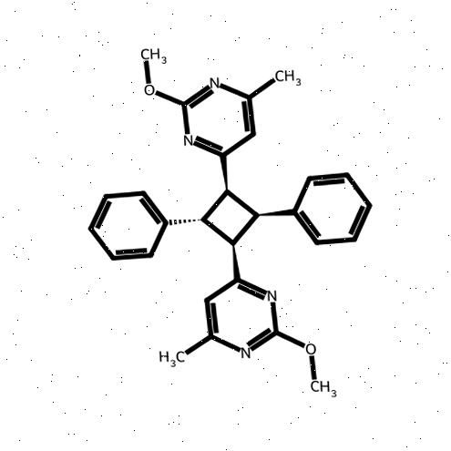 COc1nc(C)cc([C@H]2[C@H](c3ccccc3)[C@@H](c3cc(C)nc(OC)n3)[C@H]2c2ccccc2)n1